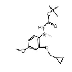 COc1ccc([C@@H](C)NC(=O)OC(C)(C)C)c(OCC2CC2)c1